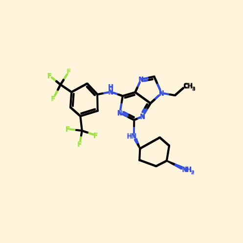 CCn1cnc2c(Nc3cc(C(F)(F)F)cc(C(F)(F)F)c3)nc(N[C@H]3CC[C@@H](N)CC3)nc21